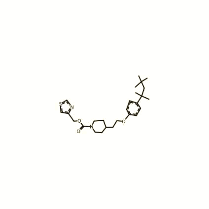 CC(C)(C)CC(C)(C)c1ccc(OCCC2CCN(C(=O)OCc3cscn3)CC2)cc1